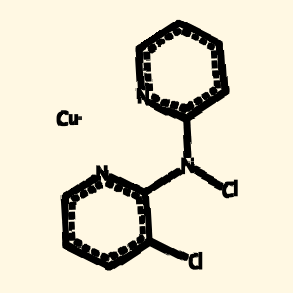 Clc1cccnc1N(Cl)c1ccccn1.[Cu]